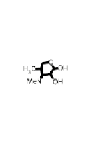 CNC1C(C)COC(O)C1O